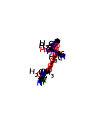 Cc1ncsc1-c1ccc(NC(=O)[C@@H]2C[C@@H](O)CN2C(=O)[C@H](C(C)C)N2Cc3ccccc3C2=O)c(OCCCOCCCOCCOc2ccc(N3C(=S)N(c4ccc(C#N)c(C(F)(F)F)c4)C(=O)C3(C)C)cc2)c1